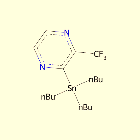 CCC[CH2][Sn]([CH2]CCC)([CH2]CCC)[c]1nccnc1C(F)(F)F